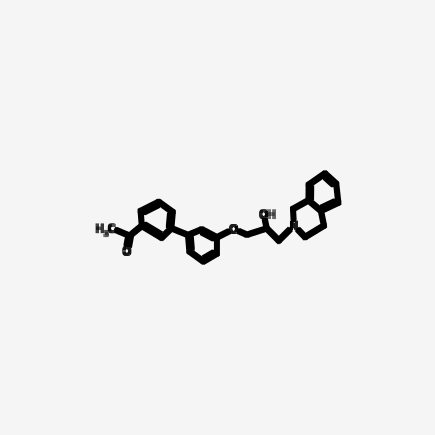 CC(=O)c1cccc(-c2cccc(OCC(O)CN3CCc4ccccc4C3)c2)c1